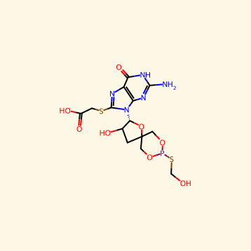 Nc1nc2c(nc(SCC(=O)O)n2[C@@H]2OC3(COP(SCO)OC3)CC2O)c(=O)[nH]1